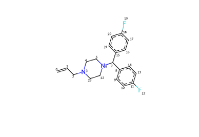 C=CCN1CCN(C(c2ccc(F)cc2)c2ccc(F)cc2)CC1